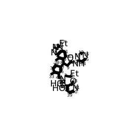 CCC1CN(Cc2cc(C(CC(=O)Nc3ccncn3)c3ccc4c(nnn4CC)c3C)ccc2C)S(O)(O)c2cccnc2O1